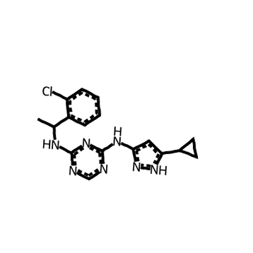 CC(Nc1ncnc(Nc2cc(C3CC3)[nH]n2)n1)c1ccccc1Cl